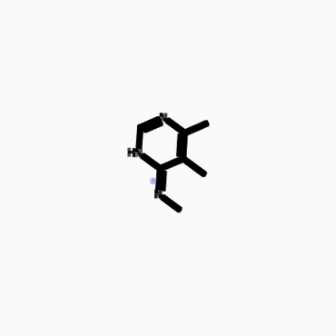 C/N=c1/[nH]cnc(C)c1C